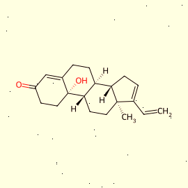 C=CC1=CC[C@H]2[C@@H]3CCC4=CC(=O)CC[C@]4(O)[C@H]3CC[C@]12C